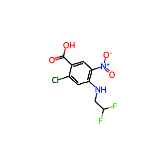 O=C(O)c1cc([N+](=O)[O-])c(NCC(F)F)cc1Cl